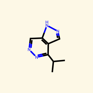 CC(C)c1nncc2[nH]ncc12